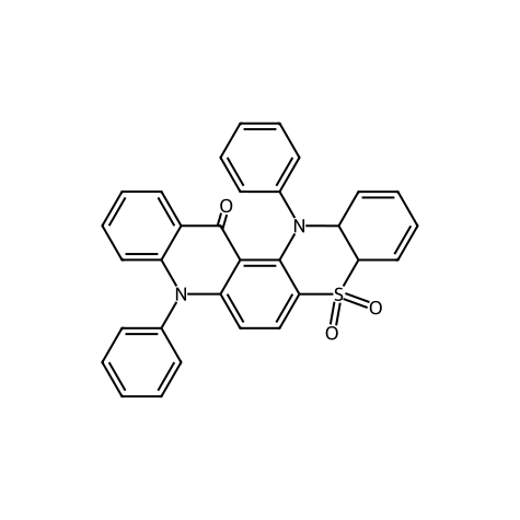 O=c1c2ccccc2n(-c2ccccc2)c2ccc3c(c12)N(c1ccccc1)C1C=CC=CC1S3(=O)=O